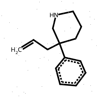 C=CCC1(c2ccccc2)CCCNC1